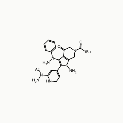 CC(=O)N(N)C1=CC(c2c(N(N)c3ccccc3)c3c(n2N)CN(C(=O)C(C)(C)C)CC3=O)=CCN1